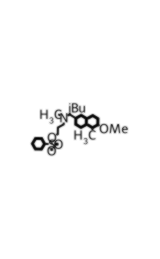 CCC(C)C(c1ccc2c(C)c(OC)ccc2c1)N(C)CCCOS(=O)(=O)c1ccccc1